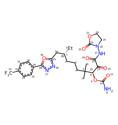 CC[C@H](CCCC(C)(C)[C@H](OC(N)=O)C(=O)C(=O)NN1CCOC1=O)Cc1nnc(-c2ccc(C(F)(F)F)cc2)o1